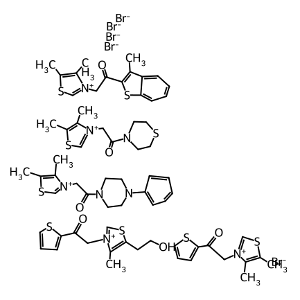 Cc1c(CCO)sc[n+]1CC(=O)c1cccs1.Cc1sc[n+](CC(=O)N2CCN(c3ccccc3)CC2)c1C.Cc1sc[n+](CC(=O)N2CCSCC2)c1C.Cc1sc[n+](CC(=O)c2cccs2)c1C.Cc1sc[n+](CC(=O)c2sc3ccccc3c2C)c1C.[Br-].[Br-].[Br-].[Br-].[Br-]